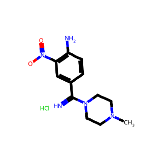 CN1CCN(C(=N)c2ccc(N)c([N+](=O)[O-])c2)CC1.Cl